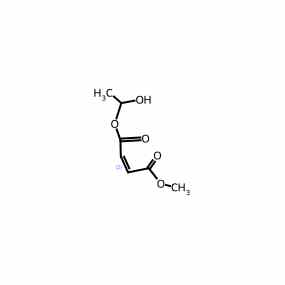 COC(=O)/C=C\C(=O)OC(C)O